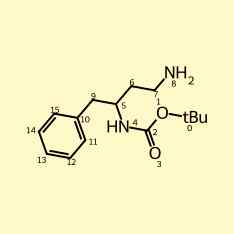 CC(C)(C)OC(=O)NC(CCN)Cc1ccccc1